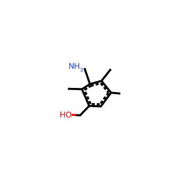 Cc1cc(CO)c(C)c(C)c1C.N